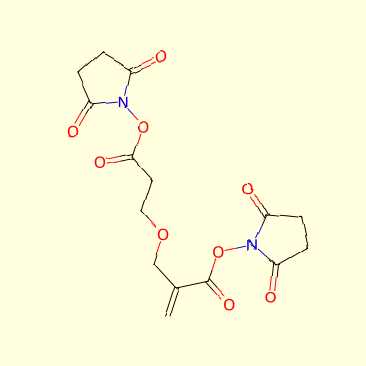 C=C(COCCC(=O)ON1C(=O)CCC1=O)C(=O)ON1C(=O)CCC1=O